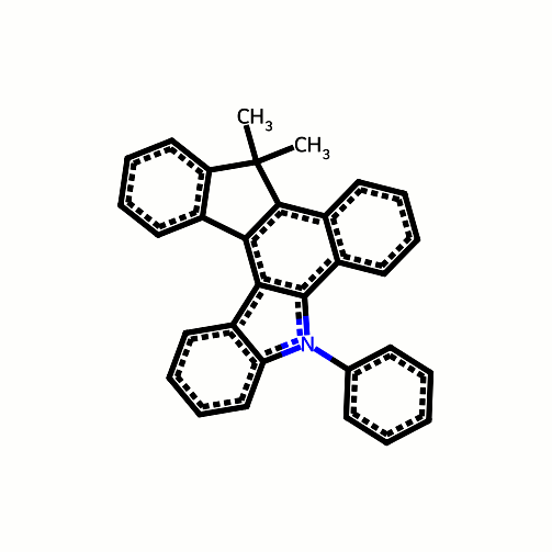 CC1(C)c2ccccc2-c2c1c1ccccc1c1c2c2ccccc2n1-c1ccccc1